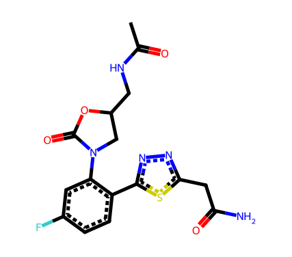 CC(=O)NCC1CN(c2cc(F)ccc2-c2nnc(CC(N)=O)s2)C(=O)O1